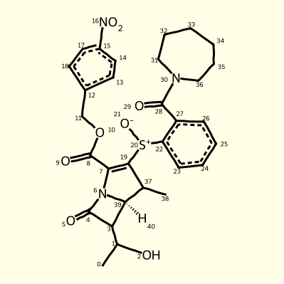 CC(O)C1C(=O)N2C(C(=O)OCc3ccc([N+](=O)[O-])cc3)=C([S+]([O-])c3ccccc3C(=O)N3CCCCCC3)C(C)[C@@H]12